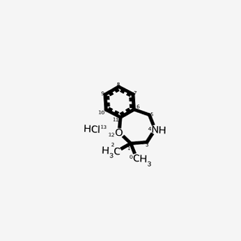 CC1(C)CNCc2ccccc2O1.Cl